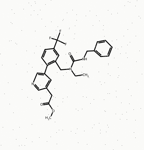 CCN(Cc1cc(C(F)(F)F)ccc1-c1cncc(CC(=O)OC)c1)C(=O)NCc1ccccc1